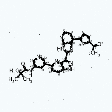 CC(=O)c1ccc(-c2ccnc3[nH]c(-c4n[nH]c5ccc(-c6cncc(NC(=O)C(C)(C)C)c6)nc45)nc23)s1